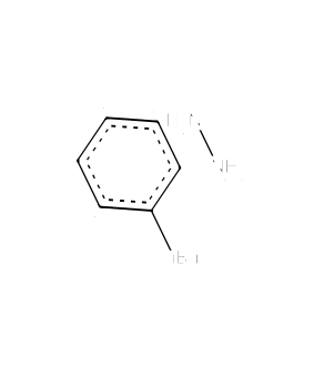 CCC(C)c1ccccc1.NN